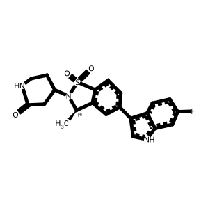 C[C@@H]1c2cc(-c3c[nH]c4cc(F)ccc34)ccc2S(=O)(=O)N1C1CCNC(=O)C1